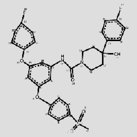 CS(=O)(=O)c1ccc(Oc2cc(NC(=O)N3CCC(O)(c4ccc(F)cc4)CC3)cc(Oc3ccc(F)cc3)c2)cc1